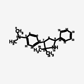 CN(C)c1ccc(C2CC(c3ccccc3)NC2(C)C)cc1